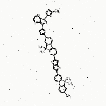 Cc1ccc2c(c1)C(C)(C)c1cc(-c3cc4sc(-c5ccc6c(c5)C(C)(C)c5cc(-c7ccc(-c8sc(-c9ccc(C)s9)c9nccnc89)s7)ccc5-6)cc4s3)ccc1-2